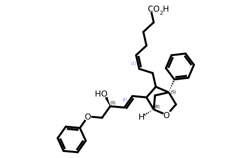 O=C(O)CCC/C=C\CC1C(/C=C/[C@H](O)COc2ccccc2)[C@H]2C[C@]1(c1ccccc1)CO2